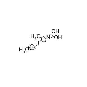 Cc1cc(N2CC(O)C(O)C2)ccc1/C=C/c1cc[n+](C)cc1